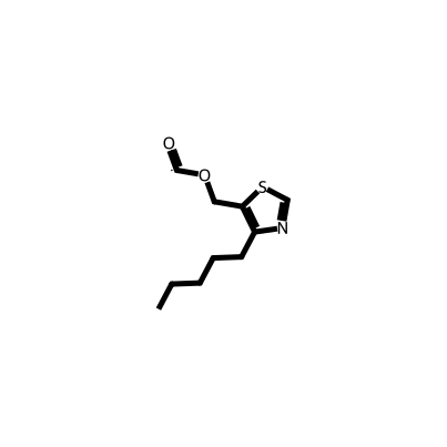 CCCCCc1ncsc1CO[C]=O